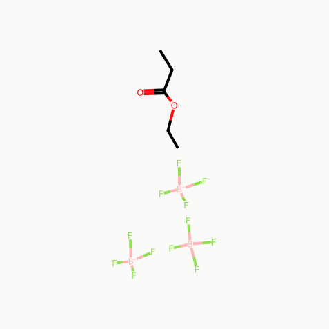 CCOC(=O)CC.F[B-](F)(F)F.F[B-](F)(F)F.F[B-](F)(F)F